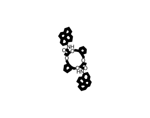 C=C1OCc2ccccc2COC(C(=O)NC2CC=c3ccc4cccc5ccc2c3c54)C(=C)OCc2ccccc2COC1C(=O)NC1CC=c2ccc3cccc4ccc1c2c43